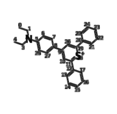 CCN(CC)c1ccc(-c2cc(-c3ccccc3)[s+]c(-c3ccccc3)c2)cc1